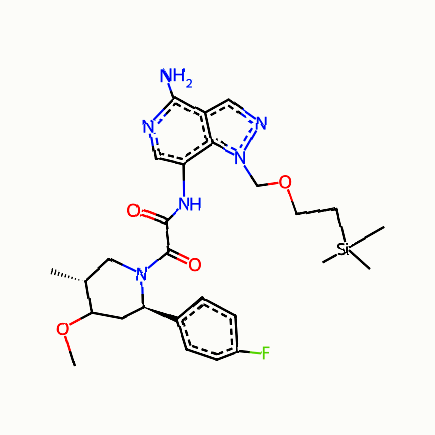 COC1C[C@H](c2ccc(F)cc2)N(C(=O)C(=O)Nc2cnc(N)c3cnn(COCC[Si](C)(C)C)c23)C[C@H]1C